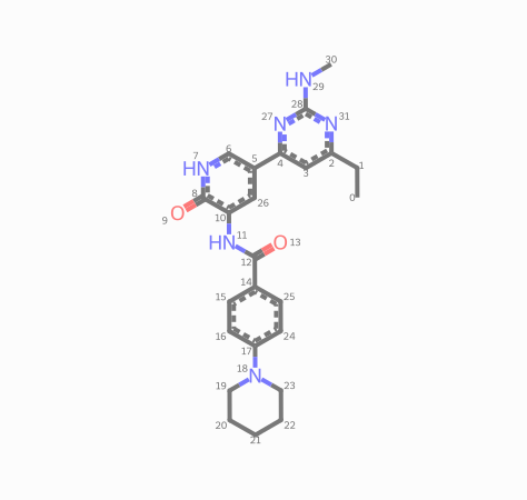 CCc1cc(-c2c[nH]c(=O)c(NC(=O)c3ccc(N4CCCCC4)cc3)c2)nc(NC)n1